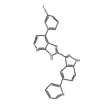 Fc1cccc(-c2ccnc3[nH]c(-c4n[nH]c5ccc(-c6ccccn6)cc45)nc23)c1